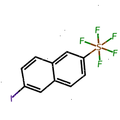 FS(F)(F)(F)(F)c1ccc2cc(I)ccc2c1